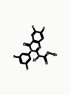 CCN(C(=O)OC(C)(C)C)c1nc2cc(F)c(F)cc2c(=O)n1-c1cc(F)cc(F)c1